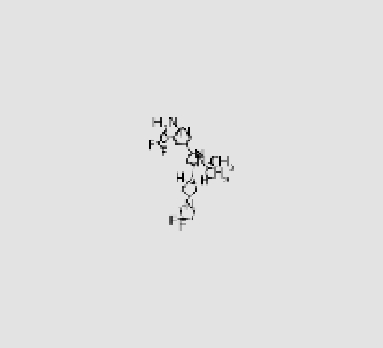 CC(C)n1nc(-c2cnc(N)c(OC(F)F)c2)cc1C1[C@H]2CC(N3CCC(F)(F)C3)C[C@@H]12